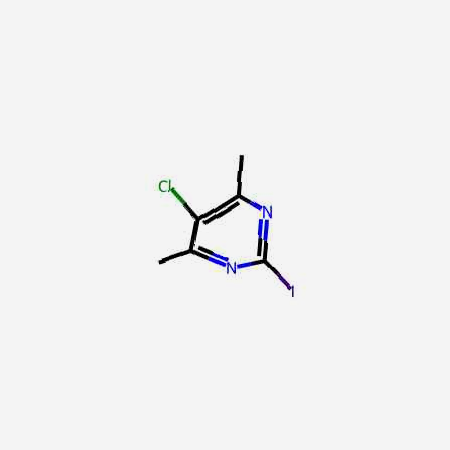 Cc1nc(I)nc(C)c1Cl